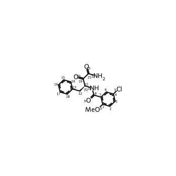 COc1ccc(Cl)cc1C(=O)N[C@@H](Cc1ccccc1)C(=O)C(N)=O